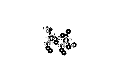 CCCCN(C)C(=O)CC[C@@H]1N[C@H](CNC(=O)c2ccc3ccccc3c2)CCN(CC(CC)c2ccccc2)C1=O.O=C(NC[C@@H]1CCN(CC(c2ccccc2)c2ccccc2)C(=O)[C@H](Cc2ccccc2N2CCCCC2)N1)c1ccc2ccccc2c1